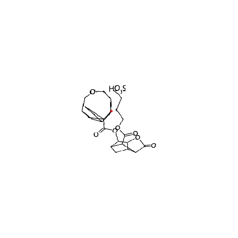 O=C1OC2C3CC(C2OC(=O)C24CC5COCC(CC(C5)C2)C4)C(C(=O)OCCCS(=O)(=O)O)C13